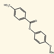 CCCCCCCCCCOc1ccc(OC(=O)c2ccc(C(=O)O)cc2)cc1